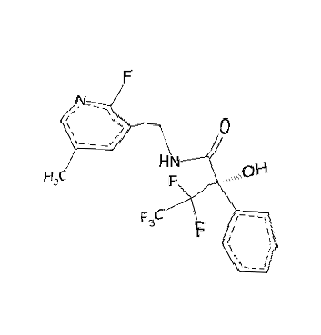 Cc1cnc(F)c(CNC(=O)[C@@](O)(c2ccccc2)C(F)(F)C(F)(F)F)c1